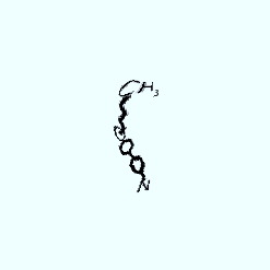 CCCCCCOC1CCC(c2ccc(C#N)cc2)CC1